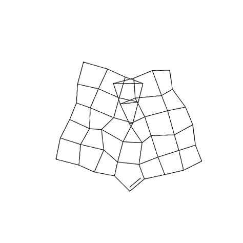 C1=C2C3C4CC5C6C7C8CC9C%10C%11C%12C%13C%14CC%15C%16C%17C%18CC%19C%20C1C1%21C2%22C32C45C63C74C89C%105C%116C%127C%138C%15%14C%169C%17%10C%18%19C%201C%101C98C78C67C45C23C%227C%2118